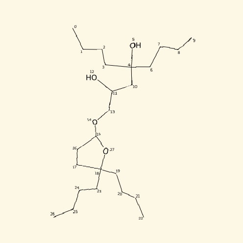 CCCCC(O)(CCCC)CC(O)COC1CCC(CCCC)(CCCC)O1